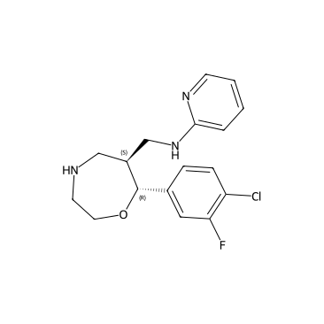 Fc1cc([C@@H]2OCCNC[C@H]2CNc2ccccn2)ccc1Cl